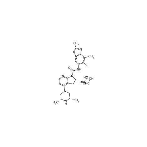 Cc1cn2cc(NC(=O)N3CCc4c(C5C[C@@H](C)N[C@@H](C)C5)ccnc43)c(F)c(C)c2n1.O=CO.O=CO